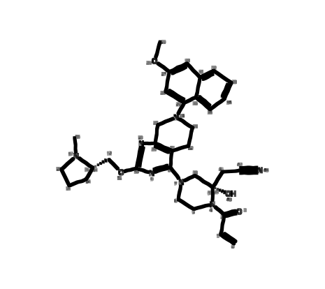 C=CC(=O)N1CCN(c2nc(OC[C@@H]3CCCN3C)nc3c2CCN(c2cc(OC)cc4ccccc24)C3)C[C@@]1(O)CC#N